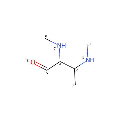 CNC(C)C(C=O)NC